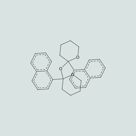 c1ccc2c(C3(OC4(c5cccc6ccccc56)CCCCO4)CCCCO3)cccc2c1